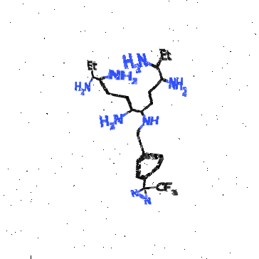 CCC(N)C(N)CCC(N)C(CCC(N)C(N)CC)NCc1ccc(C2(C(F)(F)F)N=N2)cc1